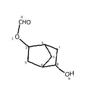 O=COC1CC2CC1CC2O